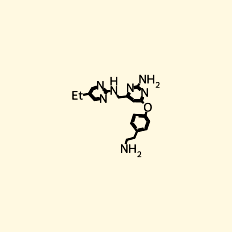 CCc1cnc(NCc2cc(Oc3ccc(CCN)cc3)nc(N)n2)nc1